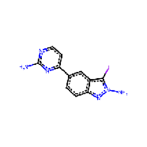 Nc1nccc(-c2ccc3nn(N)c(I)c3c2)n1